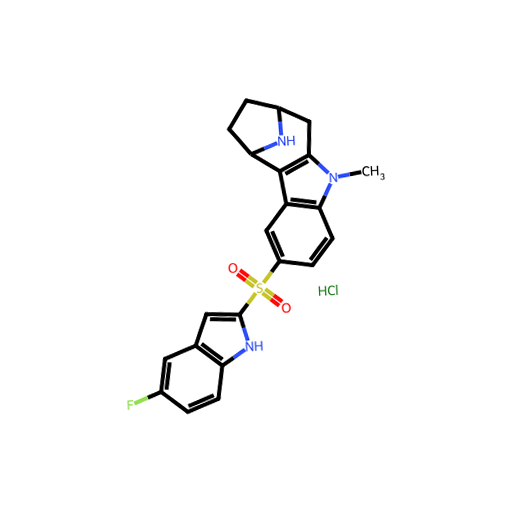 Cl.Cn1c2c(c3cc(S(=O)(=O)c4cc5cc(F)ccc5[nH]4)ccc31)C1CCC(C2)N1